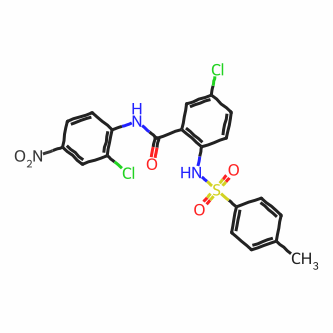 Cc1ccc(S(=O)(=O)Nc2ccc(Cl)cc2C(=O)Nc2ccc([N+](=O)[O-])cc2Cl)cc1